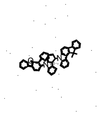 CC1(C)c2ccccc2-c2ccc3c(c21)c1ccccc1n3C1C=CC=C[C@]1(C)c1ccccc1-n1c2ccccc2c2c3oc4ccccc4c3ccc21